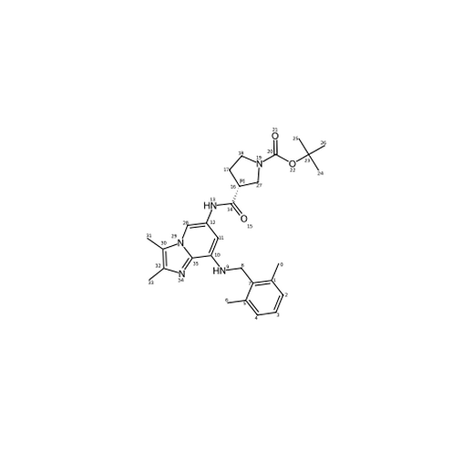 Cc1cccc(C)c1CNc1cc(NC(=O)[C@@H]2CCN(C(=O)OC(C)(C)C)C2)cn2c(C)c(C)nc12